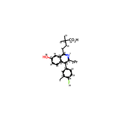 Cc1cc(-c2c(C(C)C)nc(CCC(C)(C)C(=O)O)c3cc(O)ccc23)ccc1F